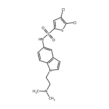 CN(C)CCn1ccc2cc(NS(=O)(=O)c3cc(Cl)c(Cl)s3)ccc21